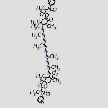 CC1=C(/C=C/C(C)=C/C=C/C(C)=C/C=C/C=C(C)/C=C/C=C(C)/C=C/C2=C(C)C(=O)[C@@H](OC(=O)C(C)N(C=O)c3cccnc3)CC2(C)C)C(C)(C)CC(OC(=O)C(C)N(C=O)c2cccnc2)C1=O